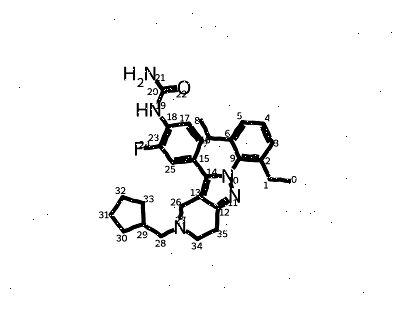 CCc1cccc(CC)c1-n1nc2c(c1-c1ccc(NC(N)=O)c(F)c1)CN(CC1CCCC1)CC2